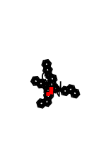 c1ccc2cc3c(cc2c1)oc1c(-n2c4ccccc4c4cc5ccccc5cc42)c(-c2nc(-c4ccc5c(ccc6ccccc65)c4)nc(-c4ccc5c(ccc6ccccc65)c4)n2)ccc13